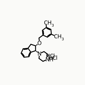 Cc1cc(C)cc(CO[C@@H]2Cc3ccccc3[C@@H]2N2CCNCC2)c1.Cl.Cl